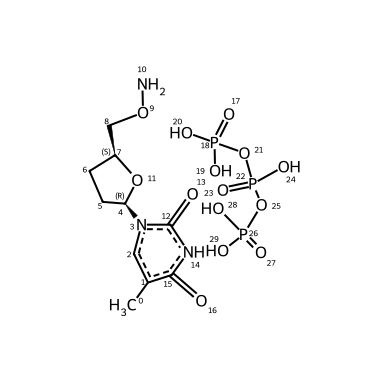 Cc1cn([C@H]2CC[C@@H](CON)O2)c(=O)[nH]c1=O.O=P(O)(O)OP(=O)(O)OP(=O)(O)O